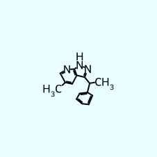 Cc1cnc2[nH]nc(C(C)c3ccccc3)c2c1